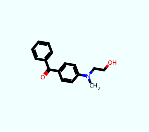 CN(CCO)c1ccc(C(=O)c2ccccc2)cc1